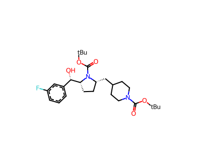 CC(C)(C)OC(=O)N1CCC(C[C@@H]2CC[C@H]([C@@H](O)c3cccc(F)c3)N2C(=O)OC(C)(C)C)CC1